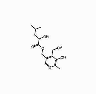 Cc1ncc(COC(=O)C(O)CC(C)C)c(CO)c1O